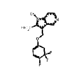 CCOC(=O)c1c(COC2=CC=C(F)C(F)(F)C2)c2cnccc2n1CC